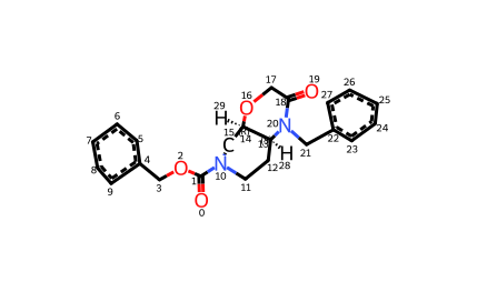 O=C(OCc1ccccc1)N1CC[C@H]2[C@@H](C1)OCC(=O)N2Cc1ccccc1